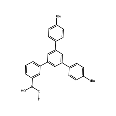 CC(C)(C)c1ccc(-c2cc(-c3ccc(C(C)(C)C)cc3)cc(-c3cccc(B(O)OF)c3)c2)cc1